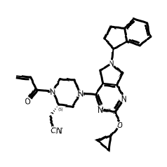 C=CC(=O)N1CCN(c2nc(OC3CC3)nc3c2CN(C2CCc4ccccc42)C3)C[C@@H]1CC#N